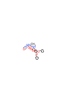 CC(NC(=O)CN1CCOCC1)C(=O)NC(Cc1ccc(OCc2ccccc2)c(OCc2ccccc2)c1)C(=O)O